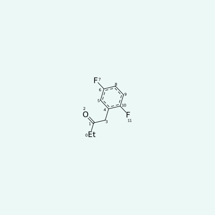 CCC(=O)Cc1cc(F)ccc1F